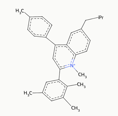 Cc1ccc(-c2cc(-c3cc(C)cc(C)c3C)[n+](C)c3ccc(CC(C)C)cc23)cc1